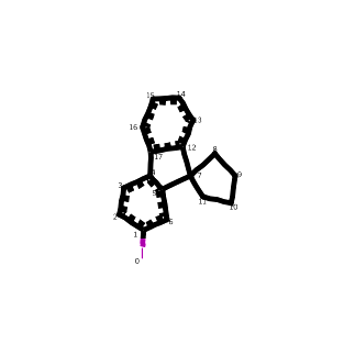 Ic1ccc2c(c1)C1(CCCC1)c1ccccc1-2